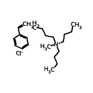 C=Cc1ccccc1.CCCC[N+](C)(CCCC)CCCC.[Cl-]